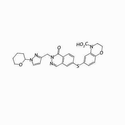 O=C(O)N1CCOc2ccc(Sc3ccc4c(=O)n(Cc5ccn(C6CCCCO6)n5)ncc4c3)cc21